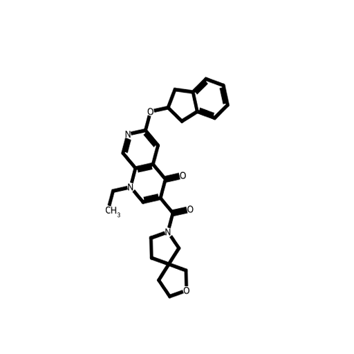 CCn1cc(C(=O)N2CCC3(CCOC3)C2)c(=O)c2cc(OC3Cc4ccccc4C3)ncc21